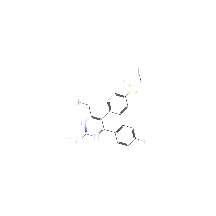 O=S(=O)(CI)c1ccc(-c2c(CI)nc(C(F)(F)F)nc2-c2ccc(F)cc2)cc1